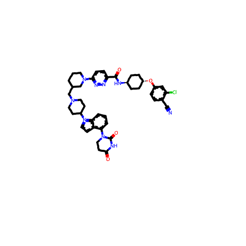 N#Cc1ccc(O[C@H]2CC[C@H](NC(=O)c3ccc(N4CCCC(CN5CCC(n6ccc7c(N8CCC(=O)NC8=O)cccc76)CC5)C4)nn3)CC2)cc1Cl